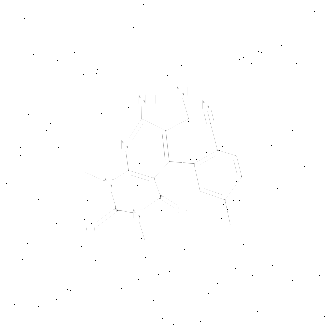 Cn1c(=O)c2c(-c3cc(F)ccc3C#N)c(CN)c(N)nc2n(C)c1=O